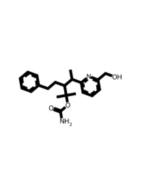 CC(c1cccc(CO)n1)C(CCc1ccccc1)C(C)(C)OC(N)=O